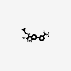 C[C@@H](Nc1c(C#N)nnc2cc(-c3cccc(C(=O)N(C)C)c3)ccc12)C1CC1